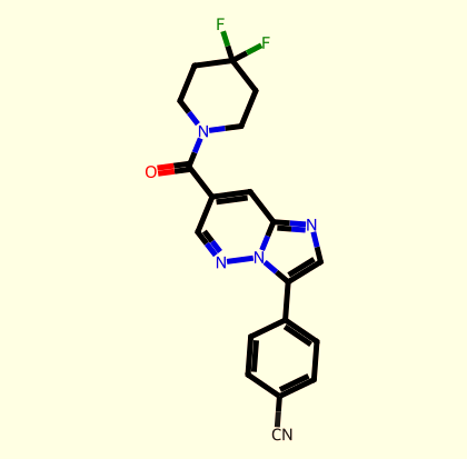 N#Cc1ccc(-c2cnc3cc(C(=O)N4CCC(F)(F)CC4)cnn23)cc1